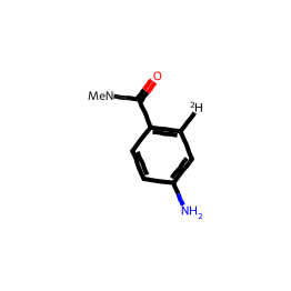 [2H]c1cc(N)ccc1C(=O)NC